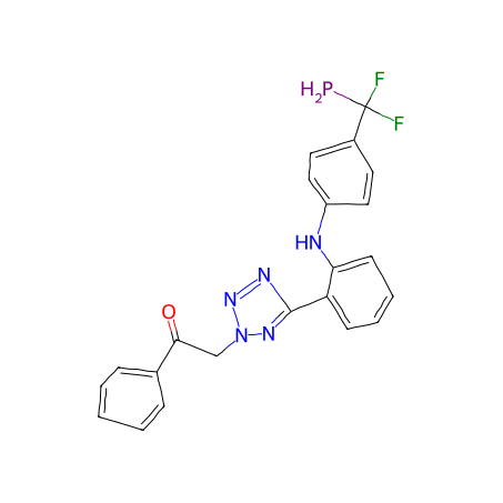 O=C(Cn1nnc(-c2ccccc2Nc2ccc(C(F)(F)P)cc2)n1)c1ccccc1